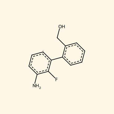 Nc1cc[c]c(-c2ccccc2CO)c1F